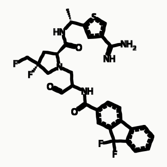 C[C@@H](NC(=O)[C@@H]1C[C@](F)(CF)CN1CC(C=O)NC(=O)c1ccc2c(c1)C(F)(F)c1ccccc1-2)c1cc(C(=N)N)cs1